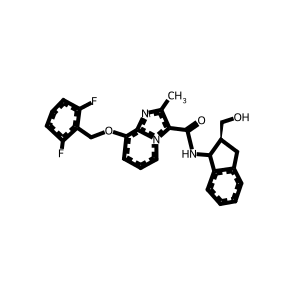 Cc1nc2c(OCc3c(F)cccc3F)cccn2c1C(=O)NC1c2ccccc2C[C@@H]1CO